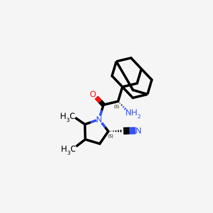 CC1C[C@@H](C#N)N(C(=O)[C@@H](N)C23CC4CC(CC(C4)C2)C3)C1C